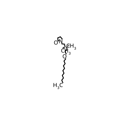 CCCCCCCCCCCCOCCC[N+](C)(CC)CCN1CCCC1=O